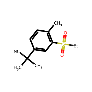 CCS(=O)(=O)c1cc(C(C)(C)C#N)ccc1C